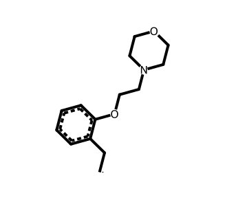 [CH2]Cc1ccccc1OCCN1CCOCC1